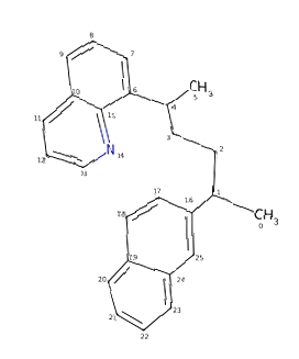 CC(CCC(C)c1cccc2cccnc12)c1ccc2ccccc2c1